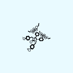 CCOOP(=O)(OOCC)c1cccc(C2[C@@H](c3cccc(P(=O)(OOCC)OOCC)c3)N(Cc3ccc(OC)cc3)C(=O)N2Cc2ccc(OC)cc2)c1